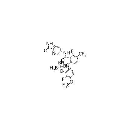 BC(B)(B)Oc1c(Oc2ccc(C(F)(F)F)c(F)c2C(=O)Nc2ccc(C(N)=O)nc2)ccc(OC(F)(F)F)c1F